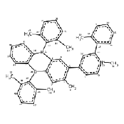 Cc1cc2c(cc1-c1cc[n+](C)c(-c3ccccc3C)c1)B(c1c(C)cccc1C)c1ccccc1B2c1c(C)cccc1C